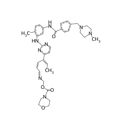 C\C=C(/C=C\C=N\COC(=O)N1CCOCC1)c1ccnc(Nc2cc(NC(=O)c3ccc(CN4CCN(C)CC4)cc3)ccc2C)n1